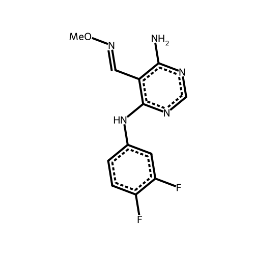 CON=Cc1c(N)ncnc1Nc1ccc(F)c(F)c1